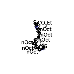 CCCCCCCCc1cc(/C=C2/SC(=S)N(CC(=O)OCC)C2=O)sc1-c1cc(CCCCCCCC)c(-c2cc(CCCCCCCC)c(-c3ccc(-c4sc(-c5sc(-c6sc(/C=C7/SC(=S)N(CC(=O)OCC)C7=O)cc6CCCCCCCC)cc5CCCCCCCC)cc4CCCCCCCC)s3)s2)s1